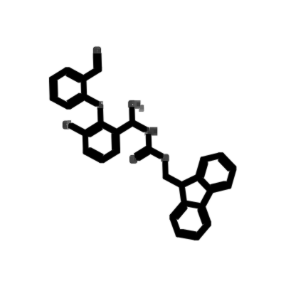 CC(NC(=O)OCC1c2ccccc2-c2ccccc21)c1cccc(Cl)c1Sc1ccccc1C=O